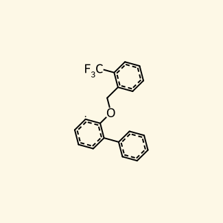 FC(F)(F)c1ccccc1COc1[c]cccc1-c1ccccc1